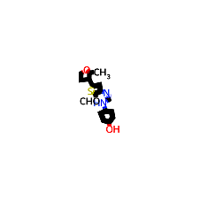 CC1OCCC1c1cc(/N=C\Nc2ccc(O)cc2)c(C=O)s1